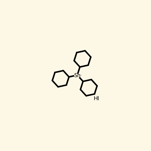 C1CC[CH]([Sn]([CH]2CCCCC2)[CH]2CCCCC2)CC1.I